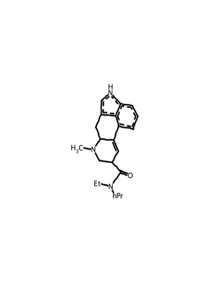 CCCN(CC)C(=O)C1C=C2c3cccc4[nH]cc(c34)CC2N(C)C1